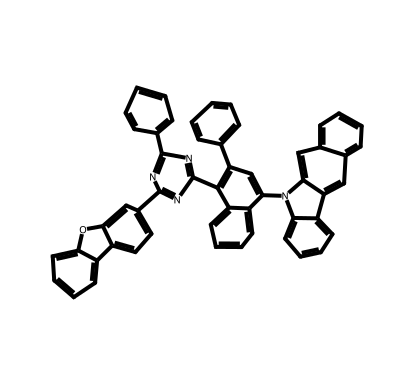 c1ccc(-c2nc(-c3ccc4c(c3)oc3ccccc34)nc(-c3c(-c4ccccc4)cc(-n4c5ccccc5c5cc6ccccc6cc54)c4ccccc34)n2)cc1